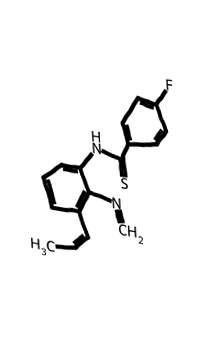 C=Nc1c(/C=C\C)cccc1NC(=S)c1ccc(F)cc1